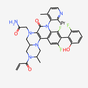 C=CC(=O)N1CC2CN(CC(N)=O)c3c(c4cc(F)c(-c5c(O)cccc5F)c(F)c4n(-c4c(C)ccnc4C(C)C)c3=O)N2CC1C